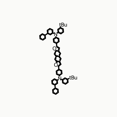 CC(C)(C)c1cccc(N(c2ccc(-c3cc4cc5cc6cc(-c7ccc(N(c8cccc(-c9ccccc9)c8)c8cccc(C(C)(C)C)c8)cc7)oc6cc5cc4o3)cc2)c2cccc(-c3ccccc3)c2)c1